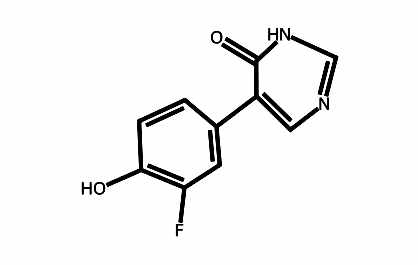 O=c1[nH]cncc1-c1ccc(O)c(F)c1